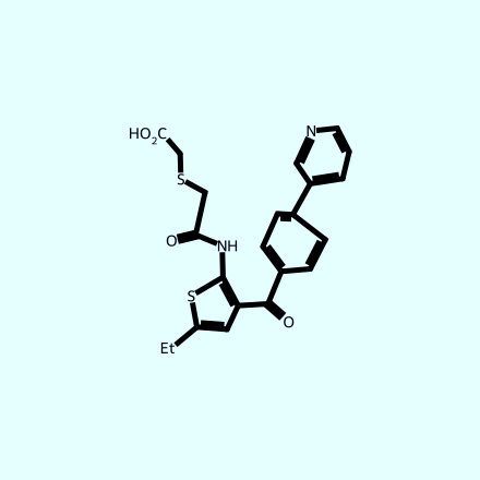 CCc1cc(C(=O)c2ccc(-c3cccnc3)cc2)c(NC(=O)CSCC(=O)O)s1